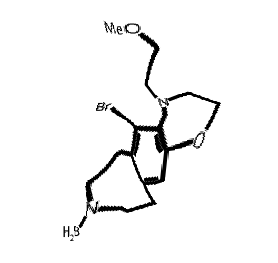 BN1CCc2cc3c(c(Br)c2CC1)N(CCOC)CCO3